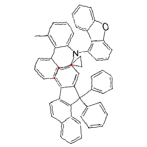 Cc1cccc(N(c2ccc3c(c2)C(c2ccccc2)(c2ccccc2)c2c-3ccc3ccccc23)c2cccc3oc4ccccc4c23)c1-c1ccccc1C1CC1